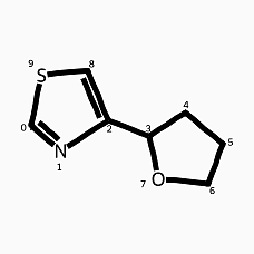 [c]1nc(C2CCCO2)cs1